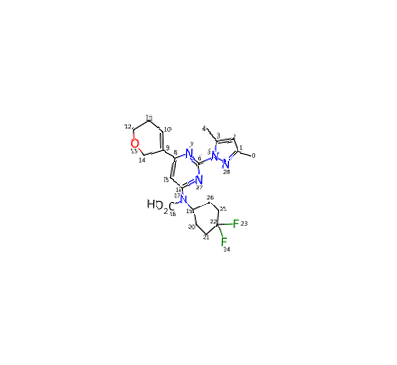 Cc1cc(C)n(-c2nc(C3=CCCOC3)cc(N(C(=O)O)C3CCC(F)(F)CC3)n2)n1